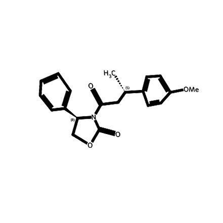 COc1ccc([C@@H](C)CC(=O)N2C(=O)OC[C@H]2c2ccccc2)cc1